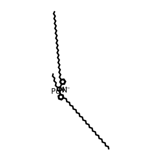 CCCCCCCCCCCCCCCCCCCCCCCCCCCCc1cccc(C2=CC(CCCCCC)=C(c3cccc(CCCCCCCCCCCCCCCCCCCCCCCCCCCC)c3)[N+]2=[N-])c1.[Pd]